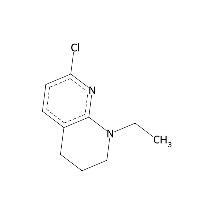 CCN1CCCc2ccc(Cl)nc21